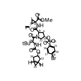 C=C[C@@H]1C[C@]1(NC(=O)C1C[C@H](OS(=O)(=O)c2ccc(Br)cc2)CN1C(=O)[C@@H](NC(=O)O[C@@H]1C[C@@H]2C[C@@H]2C1)C(C)(C)C)C(=O)OC